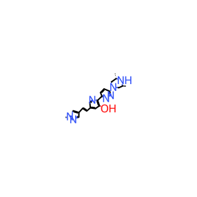 C[C@H]1CN(c2ccc(-c3ncc(/C=C/c4cnn(C)c4)cc3O)nn2)C[C@H](C)N1